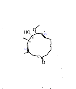 COC1/C=C/CCCCC(=O)CC/C(C)=C\[C@@H](C)[C@@H]1O